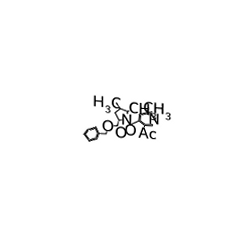 CC(=O)c1cnc(C)cc1C(=O)N1[C@@H](C(=O)OCc2ccccc2)C[C@@H](C)[C@H]1C